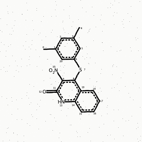 Cc1cc(C)cc(Sc2c([N+](=O)[O-])c(=O)[nH]c3ccccc23)c1